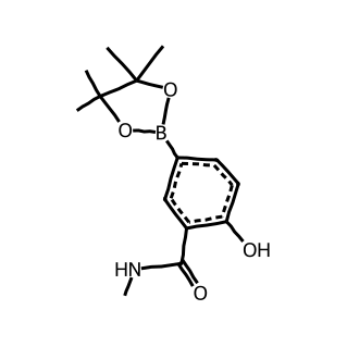 CNC(=O)c1cc(B2OC(C)(C)C(C)(C)O2)ccc1O